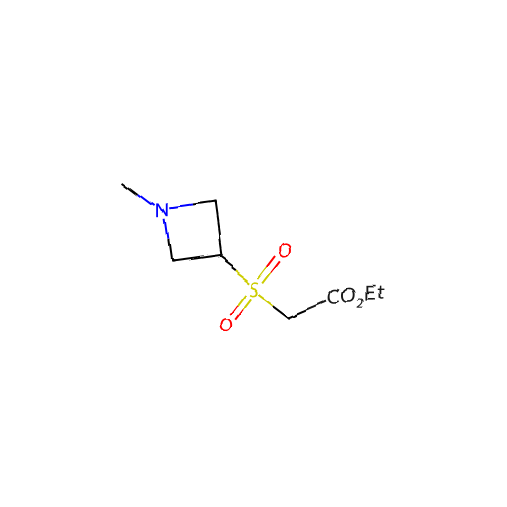 CCOC(=O)CS(=O)(=O)C1CN(C)C1